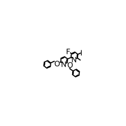 Cc1nc(-c2ccc(OCc3ccccc3)nc2OCc2ccccc2)c(F)cc1I